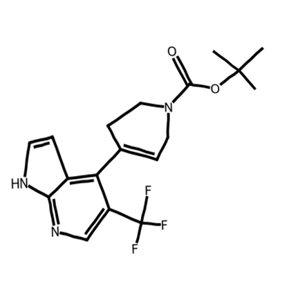 CC(C)(C)OC(=O)N1CC=C(c2c(C(F)(F)F)cnc3[nH]ccc23)CC1